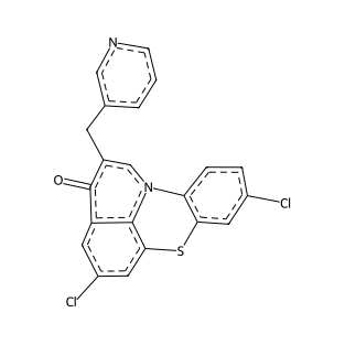 O=c1c(Cc2cccnc2)cn2c3c(cc(Cl)cc13)Sc1cc(Cl)ccc1-2